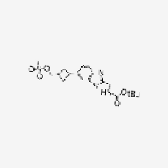 CC(C)(C)OC(=O)NCc1nc2ccc(C3CC(COS(C)(=O)=O)C3)cc2s1